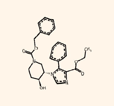 CCOC(=O)c1ncn([C@H]2CN(C(=O)OCc3ccccc3)CC[C@@H]2O)c1-c1ccccc1